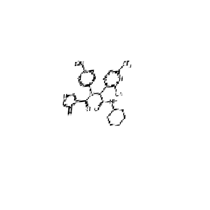 CC(C)(C)c1ccc(N(C(=O)c2cnc[nH]2)C(C(=O)NC2CCCCC2)c2ccc(C(F)(F)F)nc2C#N)cc1